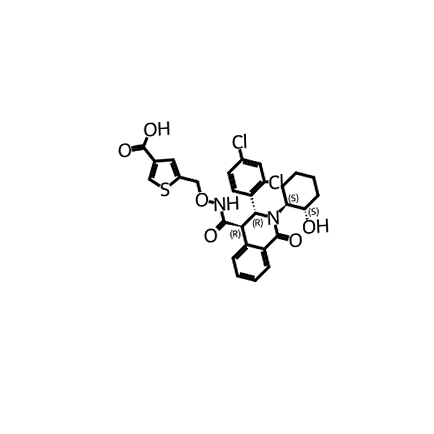 O=C(O)c1csc(CONC(=O)[C@@H]2c3ccccc3C(=O)N([C@H]3CCCC[C@@H]3O)[C@H]2c2ccc(Cl)cc2Cl)c1